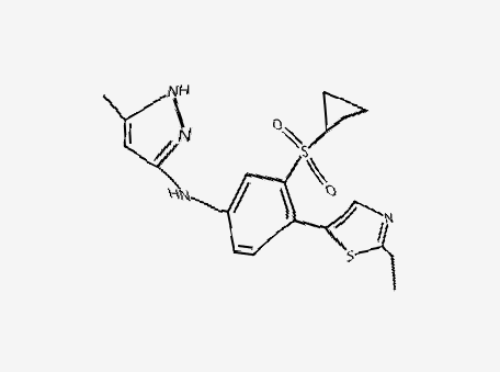 Cc1cc(Nc2ccc(-c3cnc(C)s3)c(S(=O)(=O)C3CC3)c2)n[nH]1